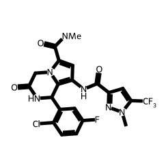 CNC(=O)c1cc(NC(=O)c2cc(C(F)(F)F)n(C)n2)c2n1CC(=O)NC2c1cc(F)ccc1Cl